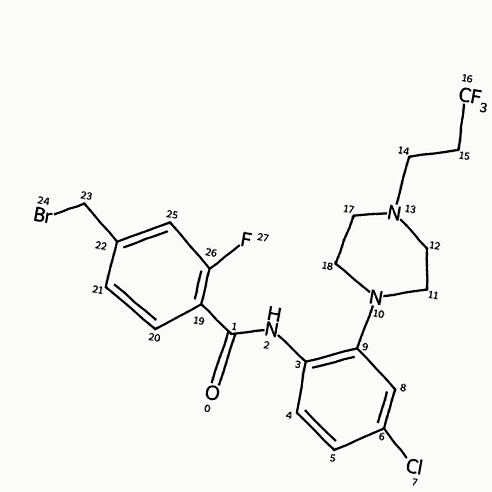 O=C(Nc1ccc(Cl)cc1N1CCN(CCC(F)(F)F)CC1)c1ccc(CBr)cc1F